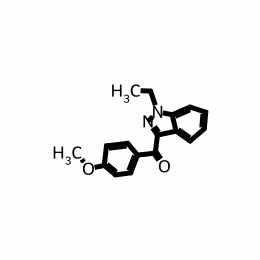 CCn1nc(C(=O)c2ccc(OC)cc2)c2ccccc21